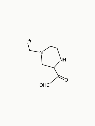 CC(C)CN1CCNC(C(=O)C=O)C1